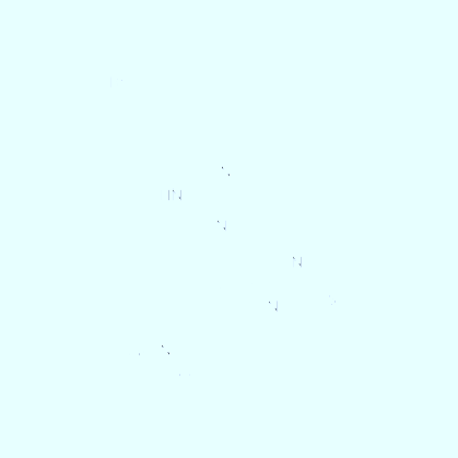 O=[N+]([O-])c1cccc(-c2nc3n(c2-c2ccnc(Nc4ccc(Br)cc4)n2)CCS3)c1